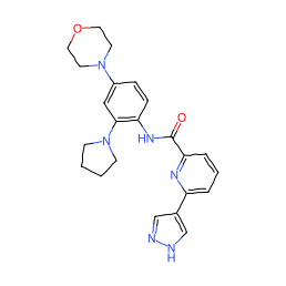 O=C(Nc1ccc(N2CCOCC2)cc1N1CCCC1)c1cccc(-c2cn[nH]c2)n1